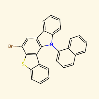 Brc1cc2c3ccccc3n(-c3cccc4ccccc34)c2c2c1sc1ccccc12